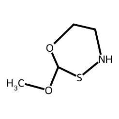 COC1OCCNS1